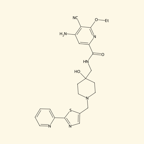 CCOc1nc(C(=O)NCC2(O)CCN(Cc3cnc(-c4ccccn4)s3)CC2)cc(N)c1C#N